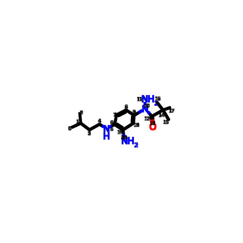 CC(C)CCNc1ccc(N(N)C(=O)C(C)(C)C)cc1N